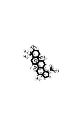 C[C@H]1CC[C@@]2(C)C(CC[C@]3(C)C2CCC2C4[C@H](C(=O)O)CC[C@]4(C)CC[C@]23C)C1(C)C